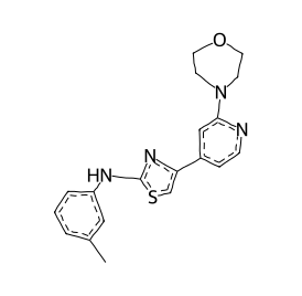 Cc1cccc(Nc2nc(-c3ccnc(N4CCOCC4)c3)cs2)c1